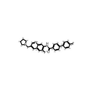 O=C(Nc1cc2ncc(CN3CCCC3)cc2cc1F)c1ccc(-c2ccc(F)cc2)cc1